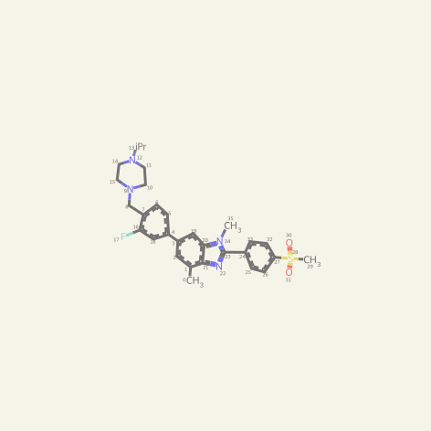 Cc1cc(-c2ccc(CN3CCN(C(C)C)CC3)c(F)c2)cc2c1nc(-c1ccc(S(C)(=O)=O)cc1)n2C